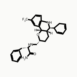 NC(=O)[C@H](Cc1ccccc1)NC[C@H]1CC[C@@H]2[C@H](O1)c1cc(C(F)(F)F)ccc1N[C@H]2C1C=CC=CC1